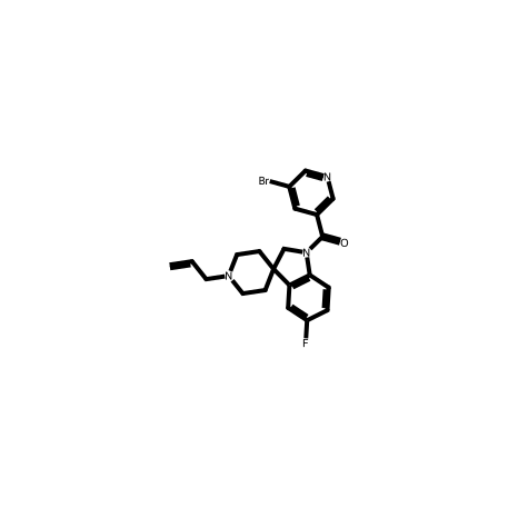 C=CCN1CCC2(CC1)CN(C(=O)c1cncc(Br)c1)c1ccc(F)cc12